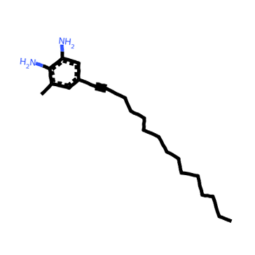 CCCCCCCCCCCCCC#Cc1cc(C)c(N)c(N)c1